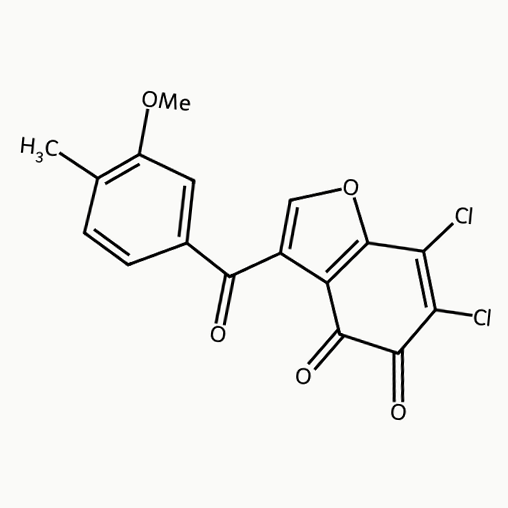 COc1cc(C(=O)c2coc3c2C(=O)C(=O)C(Cl)=C3Cl)ccc1C